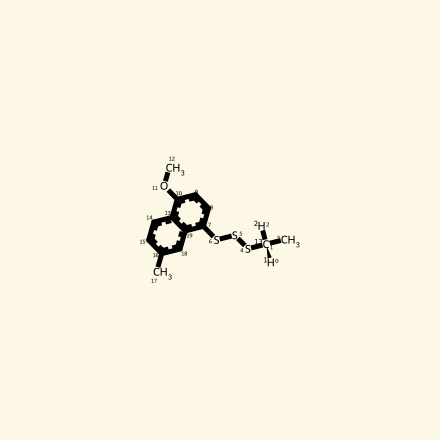 [1H][13C@@]([2H])(C)SSSc1ccc(OC)c2ccc(C)cc12